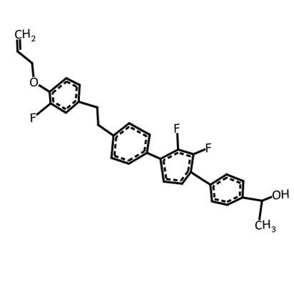 C=CCOc1ccc(CCc2ccc(-c3ccc(-c4ccc(C(C)O)cc4)c(F)c3F)cc2)cc1F